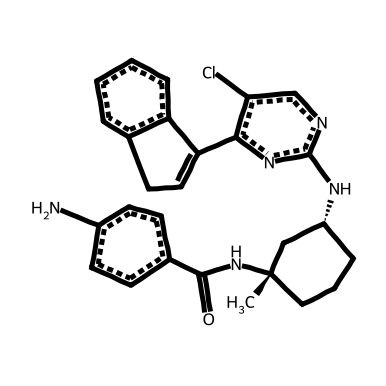 C[C@]1(NC(=O)c2ccc(N)cc2)CCC[C@@H](Nc2ncc(Cl)c(C3=CCc4ccccc43)n2)C1